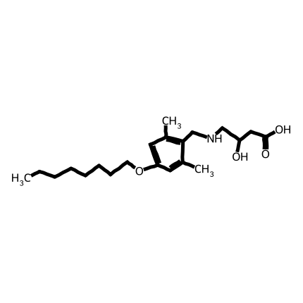 CCCCCCCCOc1cc(C)c(CNCC(O)CC(=O)O)c(C)c1